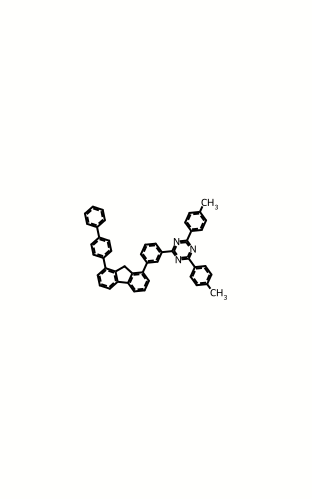 Cc1ccc(-c2nc(-c3ccc(C)cc3)nc(-c3cccc(-c4cccc5c4Cc4c(-c6ccc(-c7ccccc7)cc6)cccc4-5)c3)n2)cc1